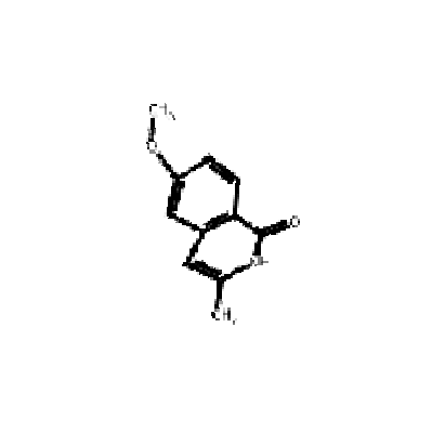 COc1ccc2c(=O)[nH]c(C)cc2c1